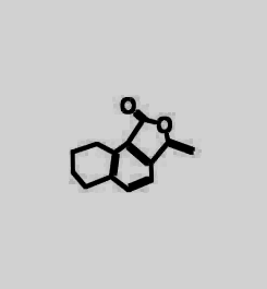 C=C1OC(=O)c2c1ccc1c2CCCC1